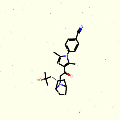 Cc1cc(C(=O)CN2C3CCC2[C@H](CC(C)(C)O)C3)c(C)n1-c1ccc(C#N)cc1